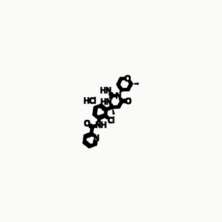 C[C@@H]1C[C@H](N2C(=N)N[C@](C)(c3cccc(NC(=O)c4ccccn4)c3Cl)CC2=O)CCO1.Cl